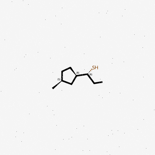 CC[C@@H](S)[C@@H]1CC[C@H](C)C1